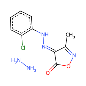 CC1=NOC(=O)/C1=N/Nc1ccccc1Cl.NN